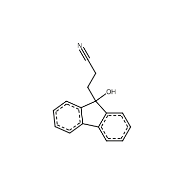 N#CCCC1(O)c2ccccc2-c2ccccc21